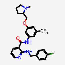 CN1CCCC1COc1cc(NC(=O)c2cccnc2NCc2ccc(F)cc2)cc(C(F)(F)F)c1